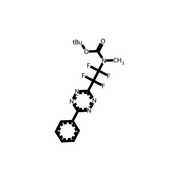 CN(C(=O)OC(C)(C)C)C(F)(F)C(F)(F)c1nnc(-c2ccccc2)nn1